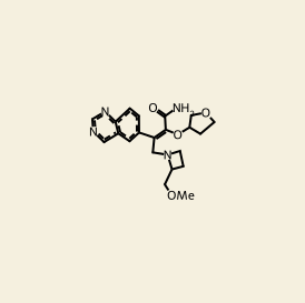 COCC1CCN1C/C(=C(\OC1CCOC1)C(N)=O)c1ccc2ncncc2c1